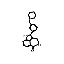 O=C1NCCC2c3c(cccc31)NC2c1cccc(CN2CCCCC2)c1